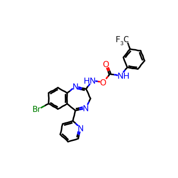 O=C(Nc1cccc(C(F)(F)F)c1)ONC1=Nc2ccc(Br)cc2C(c2ccccn2)=NC1